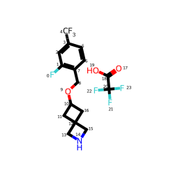 Fc1cc(C(F)(F)F)ccc1COC1CC2(CNC2)C1.O=C(O)C(F)(F)F